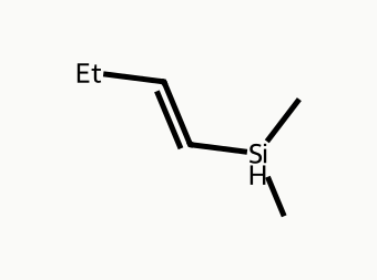 CC/C=C/[SiH](C)C